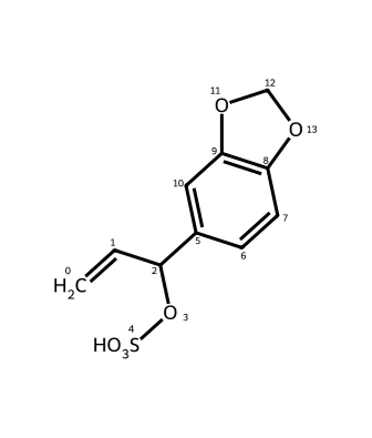 C=CC(OS(=O)(=O)O)c1ccc2c(c1)OCO2